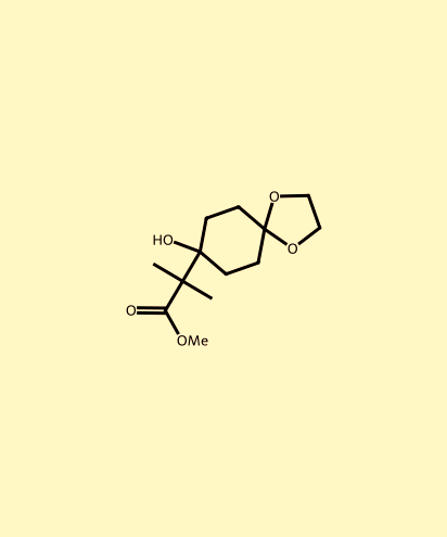 COC(=O)C(C)(C)C1(O)CCC2(CC1)OCCO2